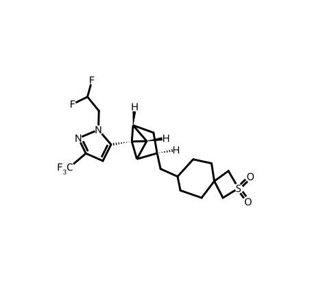 O=S1(=O)CC2(CCC(C[C@@H]3C[C@@H]4[C@@H]5C3[C@@]45c3cc(C(F)(F)F)nn3CC(F)F)CC2)C1